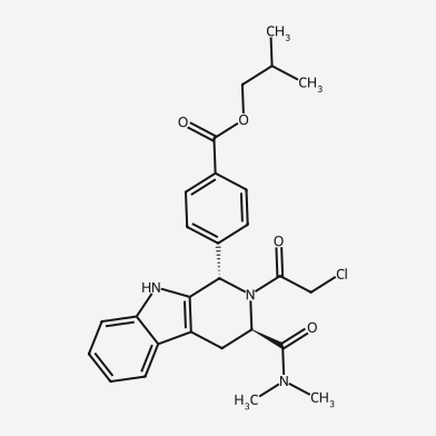 CC(C)COC(=O)c1ccc([C@H]2c3[nH]c4ccccc4c3C[C@H](C(=O)N(C)C)N2C(=O)CCl)cc1